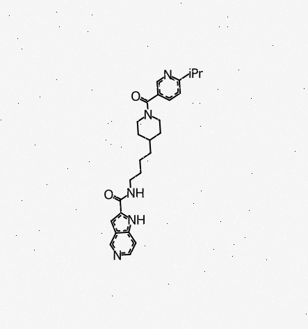 CC(C)c1ccc(C(=O)N2CCC(CCCCNC(=O)c3cc4cnccc4[nH]3)CC2)cn1